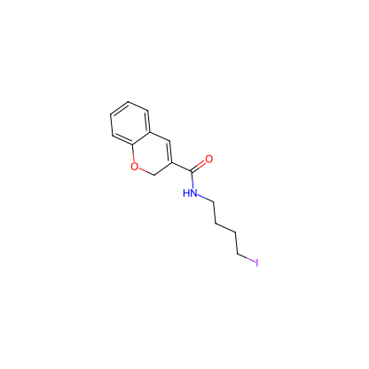 O=C(NCCCCI)C1=Cc2ccccc2OC1